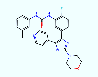 Cc1cccc(NC(=O)Nc2cc(-c3nc(N4CCOCC4)[nH]c3-c3ccncc3)ccc2F)c1